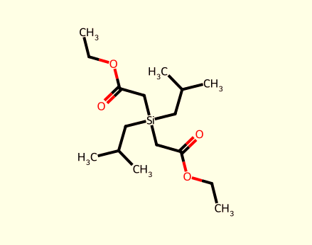 CCOC(=O)C[Si](CC(=O)OCC)(CC(C)C)CC(C)C